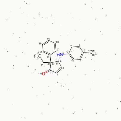 O=C1C=C[C@@H](Nc2ccc(C(F)(F)F)cc2)[C@@]1(CC(F)(F)F)c1ccccc1